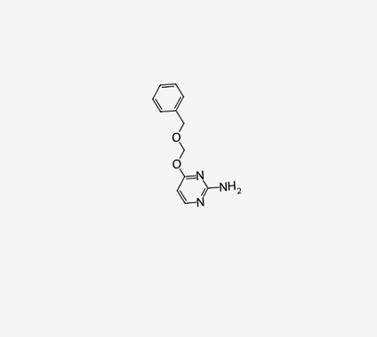 Nc1nccc(OCOCc2ccccc2)n1